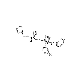 COc1cccc(-n2c(CCCC(=O)NCCc3ccccc3)nnc2SCC2=CC=CC(C)C2)c1